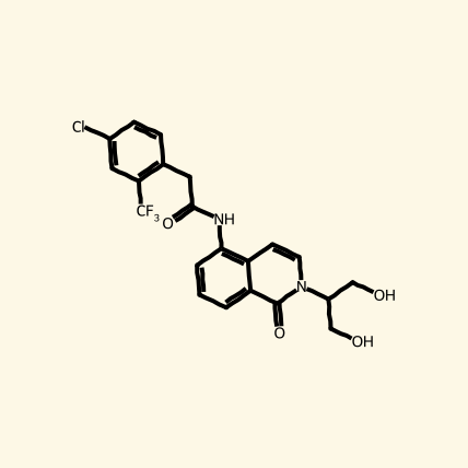 O=C(Cc1ccc(Cl)cc1C(F)(F)F)Nc1cccc2c(=O)n(C(CO)CO)ccc12